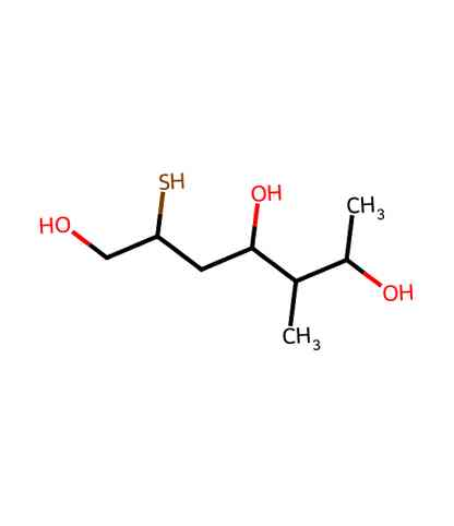 CC(O)C(C)C(O)CC(S)CO